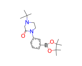 CC(C)(C)N1CCN(c2cccc(B3OC(C)(C)C(C)(C)O3)c2)C(=O)C1